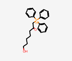 O=C(CCCCCO)C[PH](c1ccccc1)(c1ccccc1)c1ccccc1